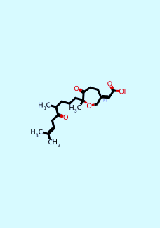 CC(C)=CCC(=O)C(C)CCCC1(C)OC/C(=C/C(=O)O)CCC1=O